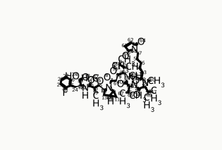 CCC(C)[C@@H]([C@@H](CC(=O)N1C2C[C@H]2C[C@H]1C(OC)C(C)C(=O)N[C@@H](Cc1ccccc1F)C(=O)O)OC)N(C)C(=O)[C@@H](NC(=O)C(C(C)C)N(C)C(=O)CCCCCN1C(=O)C=CC1=O)C(C)C